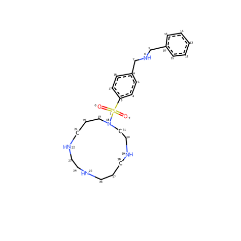 O=S(=O)(c1ccc(CNCc2ccccc2)cc1)N1CCCNCCNCCCNCC1